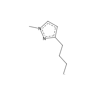 [CH2]CCCc1ccn(C)n1